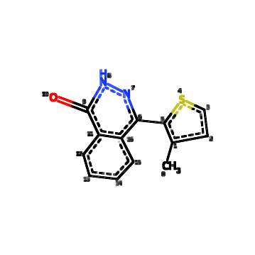 Cc1ccsc1-c1n[nH]c(=O)c2ccccc12